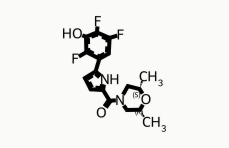 C[C@@H]1CN(C(=O)c2ccc(-c3cc(F)c(F)c(O)c3F)[nH]2)C[C@H](C)O1